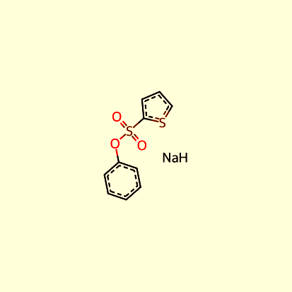 O=S(=O)(Oc1ccccc1)c1cccs1.[NaH]